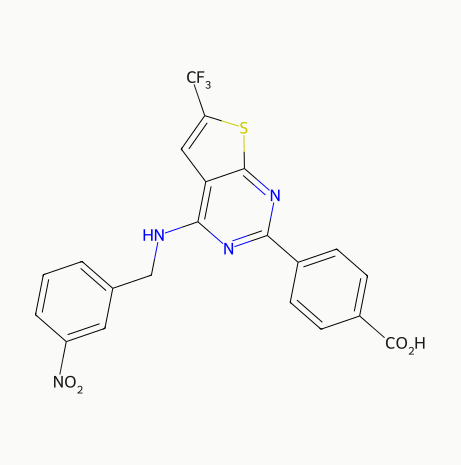 O=C(O)c1ccc(-c2nc(NCc3cccc([N+](=O)[O-])c3)c3cc(C(F)(F)F)sc3n2)cc1